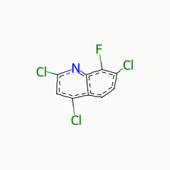 Fc1c(Cl)ccc2c(Cl)cc(Cl)nc12